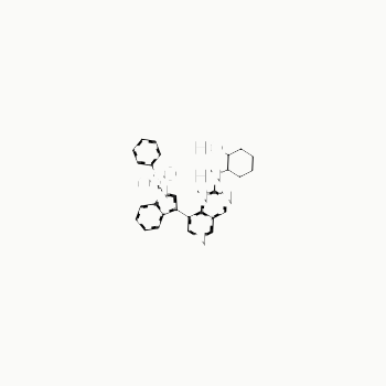 O=S(=O)(c1ccccc1)n1cc(-c2cncc3cnc(NC4CCCCC4O)nc23)c2ccccc21